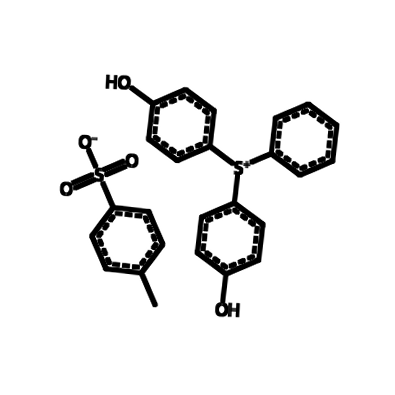 Cc1ccc(S(=O)(=O)[O-])cc1.Oc1ccc([S+](c2ccccc2)c2ccc(O)cc2)cc1